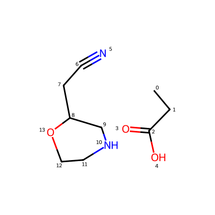 CCC(=O)O.N#CCC1CNCCO1